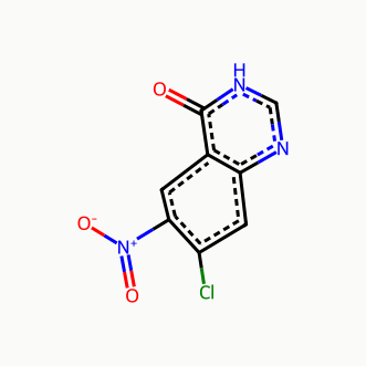 O=c1[nH]cnc2cc(Cl)c([N+](=O)[O-])cc12